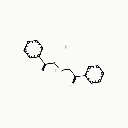 Br.O=C(CNCC(=O)c1ccccc1)c1ccccc1